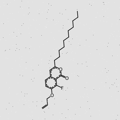 C=CCOc1ccc2cc(CCCCCCCCCCC)oc(=O)c2c1F